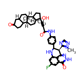 Cn1ncnc1[C@H]1c2n[nH]c(=O)c3cc(F)cc(c23)NC1c1ccc(NC(=O)C#C[C@]2(O)CC[C@H]3[C@@H]4CC[C@H]5CC(=O)CC[C@]5(C)[C@H]4CC[C@@]32C)cc1